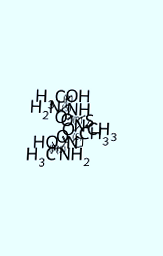 C[C@@H](O)[C@H](N)C(=O)N1CCC[C@H]1C(=O)N1[C@H](C(=O)N[C@H](C(N)=O)[C@@H](C)O)CSC1(C)C